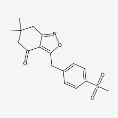 CC1(C)CC(=O)c2c(noc2Cc2ccc(S(C)(=O)=O)cc2)C1